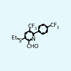 CCSc1cc(C(F)(F)F)c(-c2ccc(C(F)(F)F)cc2)nc1C=O